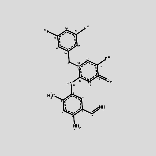 Cc1cc(N)c(C=N)cc1Nc1nc(=O)c(F)cn1Cc1cc(F)cc(F)c1